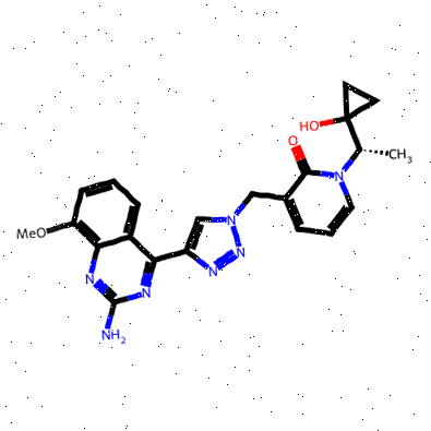 COc1cccc2c(-c3cn(Cc4cccn([C@@H](C)C5(O)CC5)c4=O)nn3)nc(N)nc12